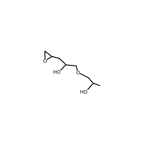 [CH2]C(O)COCC(O)CC1CO1